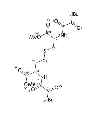 CCC(C)C(=O)C(=O)NC(CSSCC(NC(=O)C(=O)C(C)CC)C(=O)OC)C(=O)OC